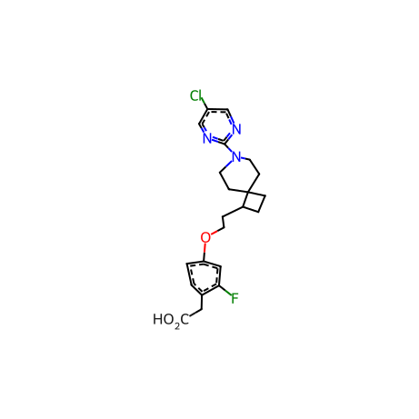 O=C(O)Cc1ccc(OCCC2CCC23CCN(c2ncc(Cl)cn2)CC3)cc1F